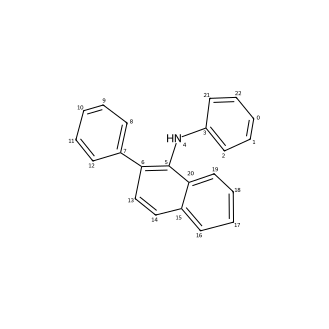 c1ccc(Nc2c(-c3ccccc3)ccc3ccccc23)cc1